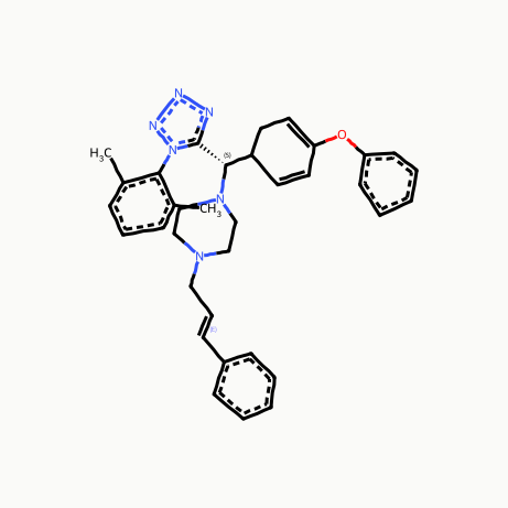 Cc1cccc(C)c1-n1nnnc1[C@H](C1C=CC(Oc2ccccc2)=CC1)N1CCN(C/C=C/c2ccccc2)CC1